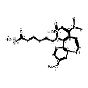 COc1ccc2c(c1)NC=CC1=C2N(CCCCCC(=O)NO)S(=O)(=O)C=C1N(C)C